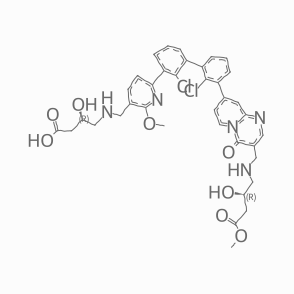 COC(=O)C[C@@H](O)CNCc1cnc2cc(-c3cccc(-c4cccc(-c5ccc(CNC[C@H](O)CC(=O)O)c(OC)n5)c4Cl)c3Cl)ccn2c1=O